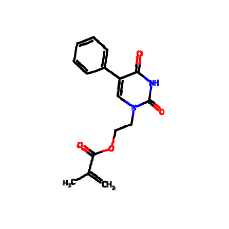 C=C(C)C(=O)OCCn1cc(-c2ccccc2)c(=O)[nH]c1=O